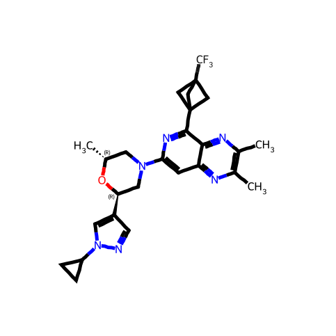 Cc1nc2cc(N3C[C@@H](C)O[C@H](c4cnn(C5CC5)c4)C3)nc(C34CC(C(F)(F)F)(C3)C4)c2nc1C